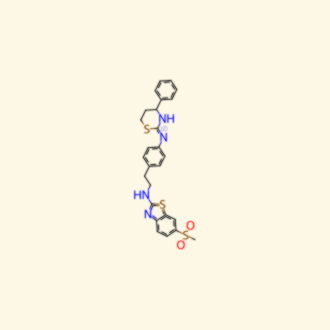 CS(=O)(=O)c1ccc2nc(NCCc3ccc(/N=C4/NC(c5ccccc5)CCS4)cc3)sc2c1